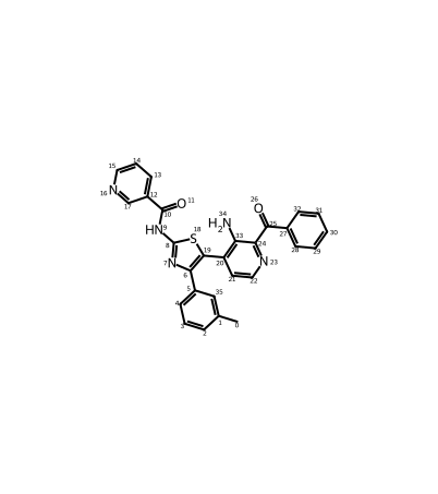 Cc1cccc(-c2nc(NC(=O)c3cccnc3)sc2-c2ccnc(C(=O)c3ccccc3)c2N)c1